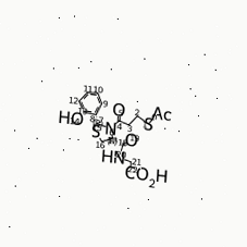 CC(=O)SCCC(=O)N1[C@@H](c2ccccc2O)SC[C@H]1C(=O)NCC(=O)O